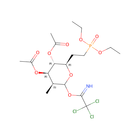 CCOP(=O)(CC[C@H]1OC(OC(=N)C(Cl)(Cl)Cl)[C@@H](C)[C@@H](OC(C)=O)[C@@H]1OC(C)=O)OCC